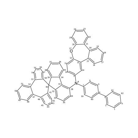 c1ccc(-c2ccc(N(c3ccc4c(c3)-c3ccccc3-c3ccccc3O4)c3cccc4c3-c3ccccc3C43c4ccccc4-c4ccccc4-c4ccccc43)cc2)cc1